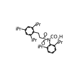 CC(C)c1cc(C(C)C)c(CCS(=O)(=O)N(C(=O)O)c2c(C(C)C)cccc2C(C)C)c(C(C)C)c1